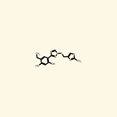 CCc1cc(-c2ncn(SCc3csc(C)n3)n2)c(O)cc1O